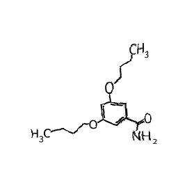 CCCCOc1cc(OCCCC)cc(C(N)=O)c1